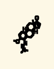 COc1ccc2c(c1N=NN(C)C)CC[C@@H]1[C@@H]2CC[C@]2(C)C(=O)CC[C@@H]12